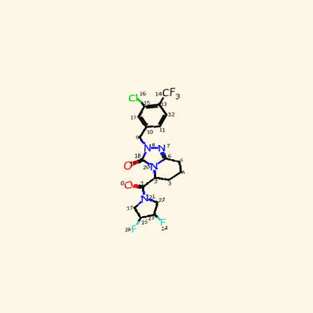 O=C(C1CCCc2nn(Cc3ccc(C(F)(F)F)c(Cl)c3)c(=O)n21)N1CC(F)C(F)C1